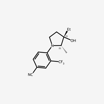 CC[C@]1(O)CCN(c2ccc(C#N)cc2C(F)(F)F)[C@H]1C